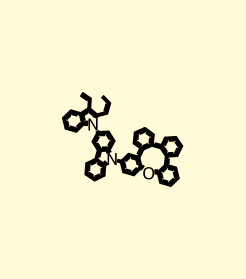 C=Cc1c(/C=C\C)n(-c2ccc3c(c2)c2ccccc2n3-c2ccc3oc4ccccc4c4ccccc4c4ccccc4c3c2)c2ccccc12